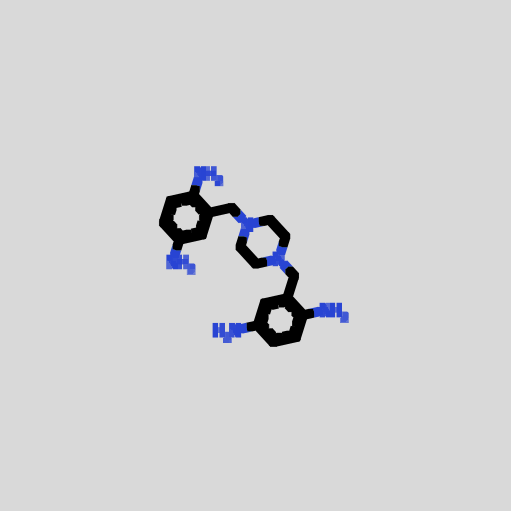 Nc1ccc(N)c(CN2CCN(Cc3cc(N)ccc3N)CC2)c1